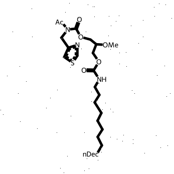 CCCCCCCCCCCCCCCCCCNC(=O)OCC(COC(=O)N(Cc1cscn1)C(C)=O)OC